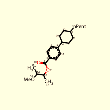 CCCCCC1CCC(c2ccc(C(=O)OC(C)C(C)OC)cc2)CC1